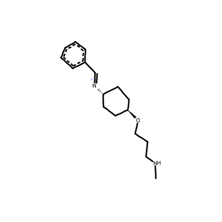 CNCCCO[C@H]1CC[C@H](/N=C/c2ccccc2)CC1